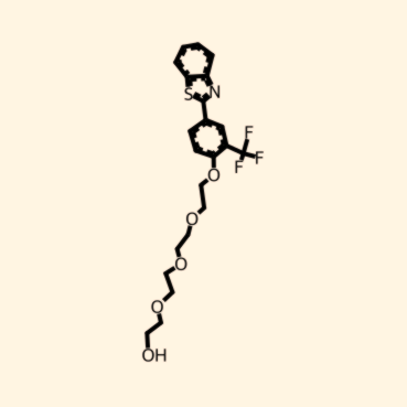 OCCOCCOCCOCCOc1ccc(-c2nc3ccccc3s2)cc1C(F)(F)F